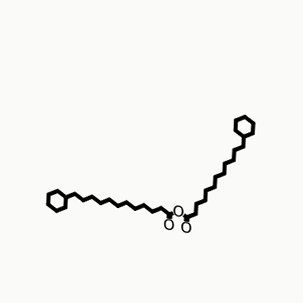 O=C(CCCCCCCCCCCC1CCCCC1)OC(=O)CCCCCCCCCCCC1CCCCC1